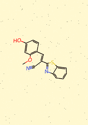 COc1cc(O)ccc1C=C(C#N)c1nc2ccccc2s1